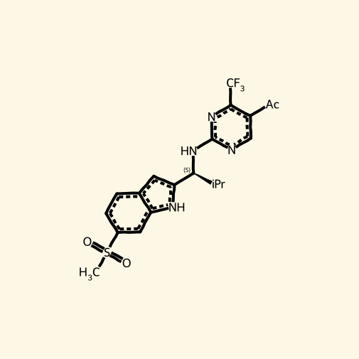 CC(=O)c1cnc(N[C@H](c2cc3ccc(S(C)(=O)=O)cc3[nH]2)C(C)C)nc1C(F)(F)F